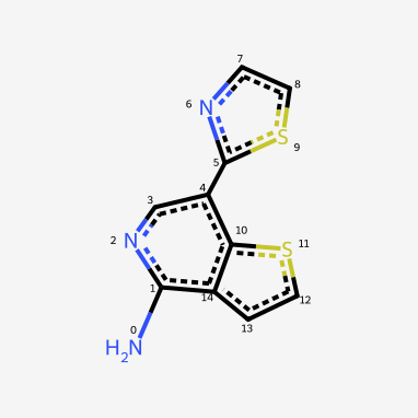 Nc1ncc(-c2nccs2)c2sccc12